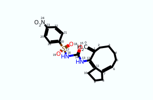 C=C1CCCC/C=C2/CCC/C2=C/1NC(=O)NS(=O)(=O)c1ccc([N+](=O)[O-])cc1